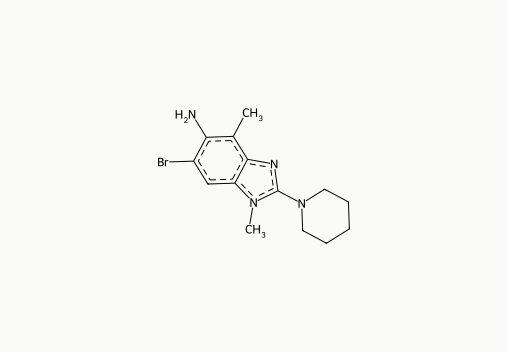 Cc1c(N)c(Br)cc2c1nc(N1CCCCC1)n2C